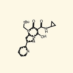 CC(C)(C)Cn1c(=O)c(C(=O)NC2CC2)c(O)n2nc(-c3ccccn3)cc12